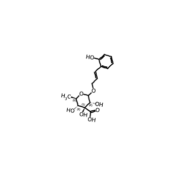 C[C@H]1OC(OCC=Cc2ccccc2O)[C@H](O)[C@](O)(C(=O)O)[C@@H]1O